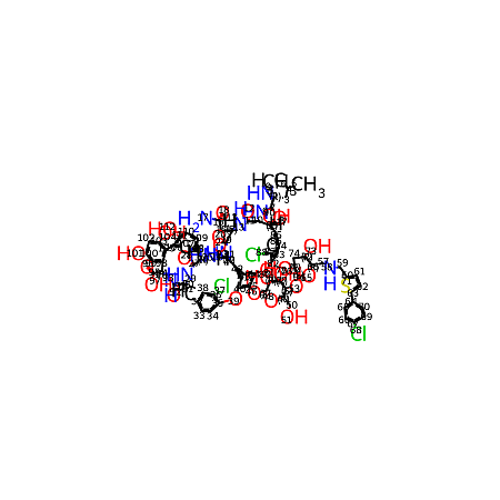 CN[C@H](CC(C)C)C(=O)NC1C(=O)N[C@@H](CC(N)=O)C(=O)N[C@H]2C(=O)N[C@H]3C(=O)N[C@@H](Cc4ccc(c(Cl)c4)Oc4cc2cc(c4O[C@@H]2O[C@H](CO)[C@@H](O[C@@H]4O[C@H](CNCc5ccc(-c6ccc(Cl)cc6)s5)[C@H](O)C[C@H]4O)[C@H](O)[C@H]2O)Oc2ccc(cc2Cl)[C@H]1O)C(=O)N[C@@H](C(=O)O)c1cc(O)cc(O)c1-c1cc3ccc1O